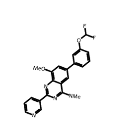 CNc1nc(-c2cccnc2)nc2c(OC)cc(-c3cccc(OC(F)F)c3)cc12